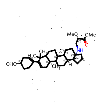 COC(=O)[C@H](CN[C@]12CCC[C@]1(C)[C@H]1CCC3[C@@](C)(CCC4C(C)(C)C(C5=CC[C@H](C=O)CC5)=CC[C@@]43C)C1CC2)OC